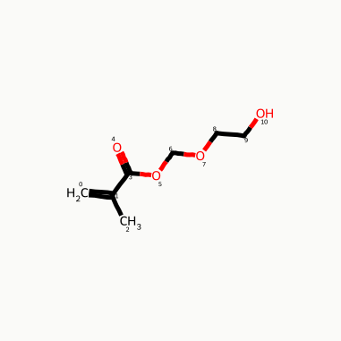 C=C(C)C(=O)OCOCCO